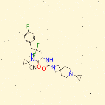 N#CC1(NC(=O)[C@H](CC(F)(F)Cc2ccc(F)cc2)NC(=O)N2CC3(CCN(C4CC4)CC3)C2)CC1